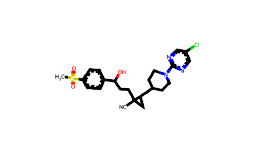 CS(=O)(=O)c1ccc(C(O)CCC2(C#N)CC2C2CCN(c3ncc(Cl)cn3)CC2)cc1